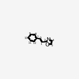 C(=Cc1ncco1)c1ccccc1